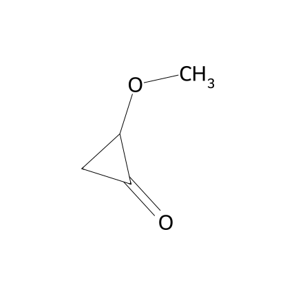 COC1CC1=O